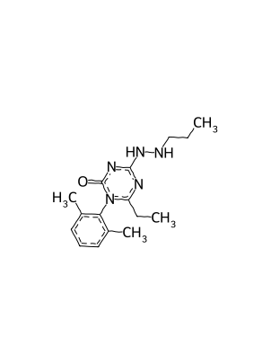 CCCNNc1nc(CC)n(-c2c(C)cccc2C)c(=O)n1